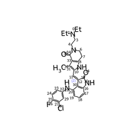 CCN(CC)CCN1CCc2[nH]c(/C=C3\C(=O)Nc4cccc(Nc5ccc(F)c(Cl)c5)c43)c(C)c2C1=O